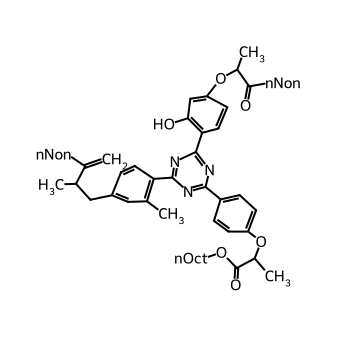 C=C(CCCCCCCCC)C(C)Cc1ccc(-c2nc(-c3ccc(OC(C)C(=O)OCCCCCCCC)cc3)nc(-c3ccc(OC(C)C(=O)CCCCCCCCC)cc3O)n2)c(C)c1